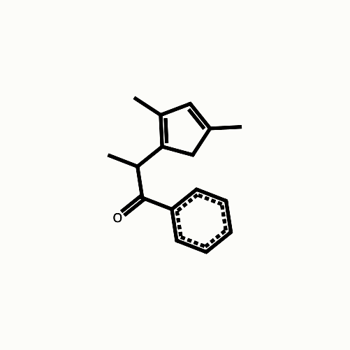 CC1=CC(C)=C(C(C)C(=O)c2ccccc2)C1